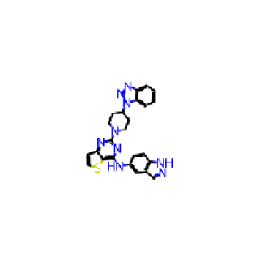 c1ccc2c(c1)nnn2C1CCN(c2nc(Nc3ccc4[nH]ncc4c3)c3sccc3n2)CC1